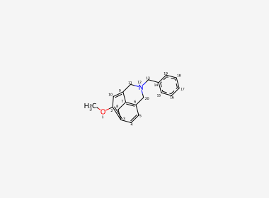 COC1=C2C=CC3=C(C2)C(=C1)CN(Cc1ccccc1)C3